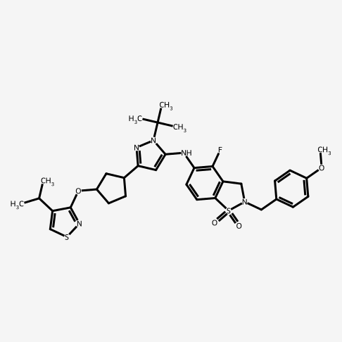 COc1ccc(CN2Cc3c(ccc(Nc4cc(C5CCC(Oc6nscc6C(C)C)C5)nn4C(C)(C)C)c3F)S2(=O)=O)cc1